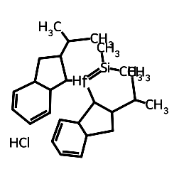 CC(C)C1CC2C=CC=CC2[CH]1[Hf]([CH]1C2C=CC=CC2CC1C(C)C)=[Si](C)C.Cl